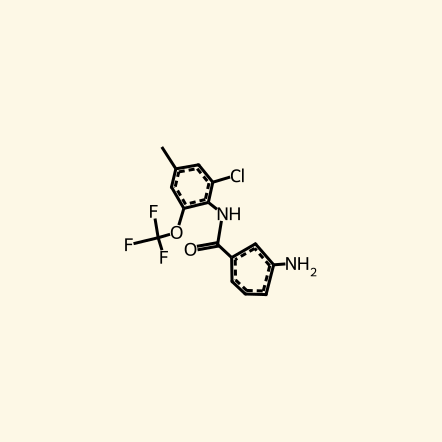 Cc1cc(Cl)c(NC(=O)c2cccc(N)c2)c(OC(F)(F)F)c1